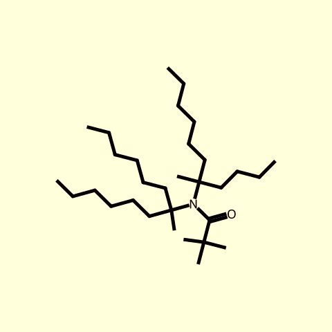 CCCCCCC(C)(CCCC)N(C(=O)C(C)(C)C)C(C)(CCCCCC)CCCCCC